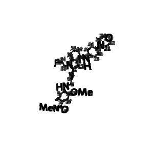 CNC(=O)c1ccc(NCC#Cc2cc3c(N[C@H]4CC[C@H](N5CCOCC5)CC4)cccc3n2CCF)c(OC)c1